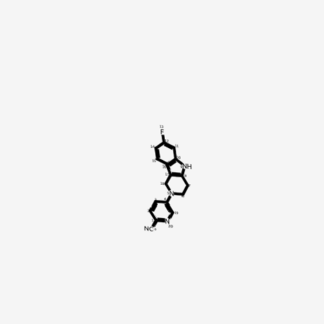 N#Cc1ccc(N2CCc3[nH]c4cc(F)ccc4c3C2)cn1